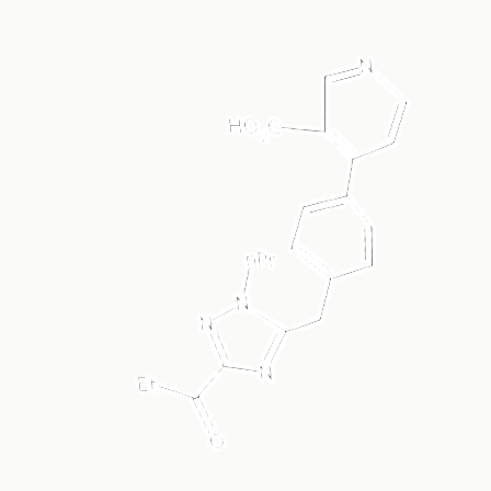 CCCn1nc(C(=O)CC)nc1Cc1ccc(-c2ccncc2C(=O)O)cc1